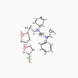 C1CCOC1.C1CCOC1.CC[N]([Hf+2][N](CC)c1ccccc1)c1ccccc1.[F-].[F-]